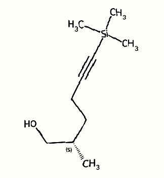 C[C@H](CO)CCC#C[Si](C)(C)C